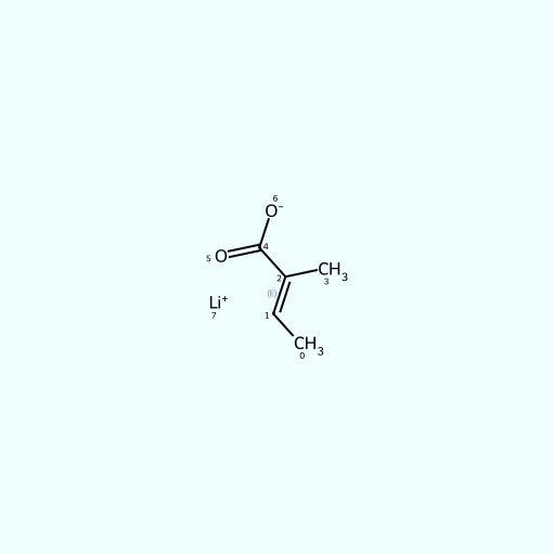 C/C=C(\C)C(=O)[O-].[Li+]